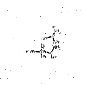 CCC[S+](N)CCC.CCC[S+](N)CCC.CCC[S+](N)CCC.[F-].[F-].[F-]